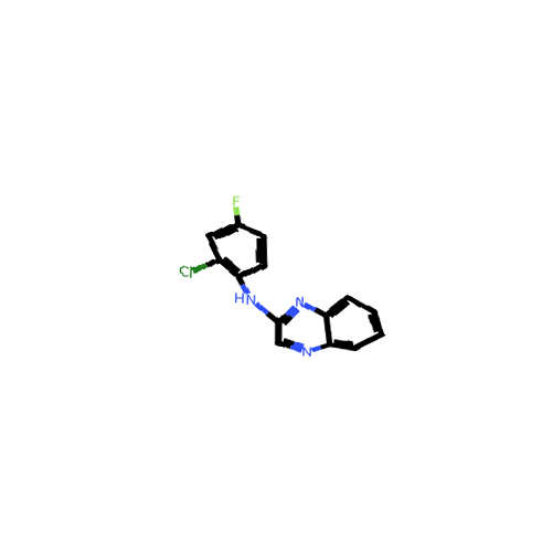 Fc1ccc(Nc2cnc3ccccc3n2)c(Cl)c1